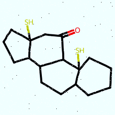 O=C1CC2(S)CCCC2C2CCC3CCCCC3(S)C12